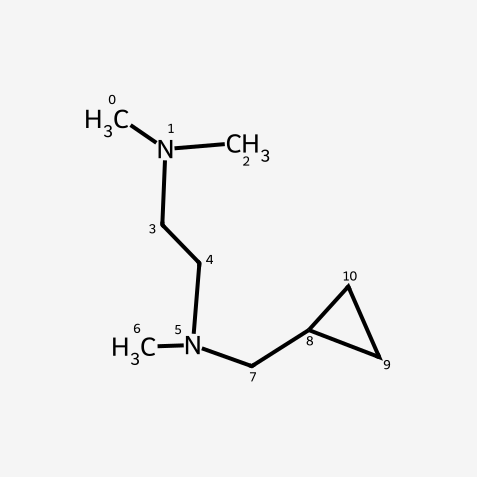 CN(C)CCN(C)CC1CC1